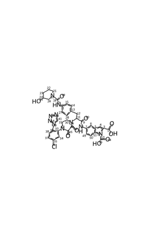 O=C(O)c1cc2cc(NC(=O)C(Cc3ccc(NC(=O)N4CCCC(O)C4)cc3)N3CCN(c4cc(Cl)ccc4-n4cnnn4)C(=O)C3=O)ccc2n1C(=O)O